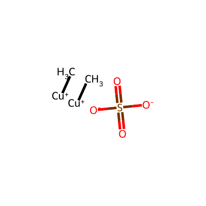 O=S(=O)([O-])[O-].[CH3][Cu+].[CH3][Cu+]